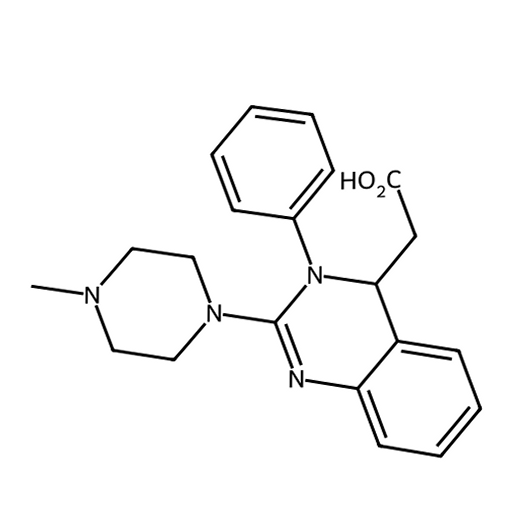 CN1CCN(C2=Nc3ccccc3C(CC(=O)O)N2c2ccccc2)CC1